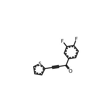 O=C(C#Cc1cccs1)c1ccc(F)c(F)c1